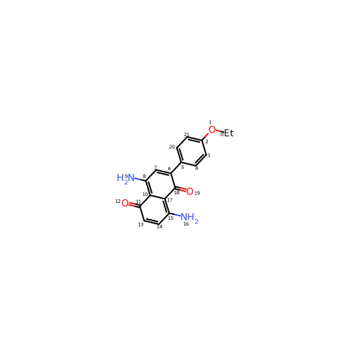 CCOc1ccc(C2=CC(N)=C3C(=O)C=CC(N)=C3C2=O)cc1